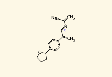 C=C(C#N)/N=C/C(=C)c1ccc(C2CCCO2)cc1